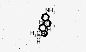 C[C@]12CC[C@H]3[C@@H](CCC4C[C@@H](N)C=C[C@@]43C)[C@@H]1C=C[C@@H]2O